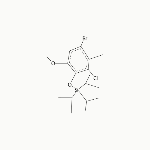 COc1cc(Br)c(C)c(Cl)c1O[Si](C(C)C)(C(C)C)C(C)C